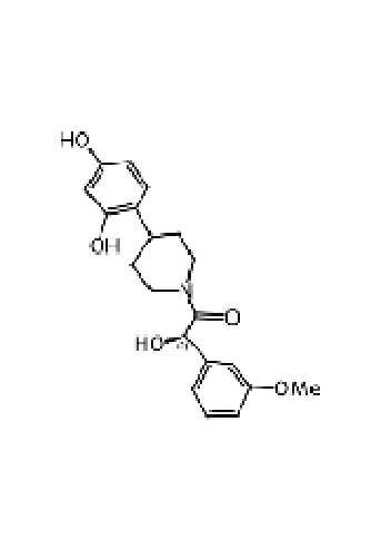 COc1cccc([C@@H](O)C(=O)N2CCC(c3ccc(O)cc3O)CC2)c1